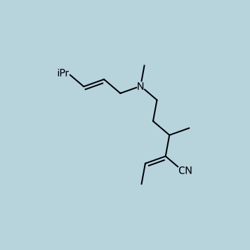 C/C=C(\C#N)C(C)CCN(C)C/C=C/C(C)C